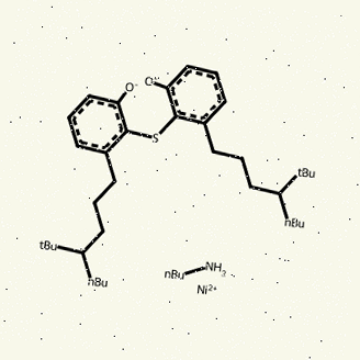 CCCCC(CCCc1cccc([O-])c1Sc1c([O-])cccc1CCCC(CCCC)C(C)(C)C)C(C)(C)C.CCCCN.[Ni+2]